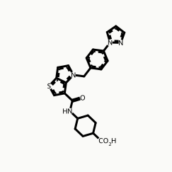 O=C(NC1CCC(C(=O)O)CC1)c1csc2ccn(Cc3ccc(-n4cccn4)cc3)c12